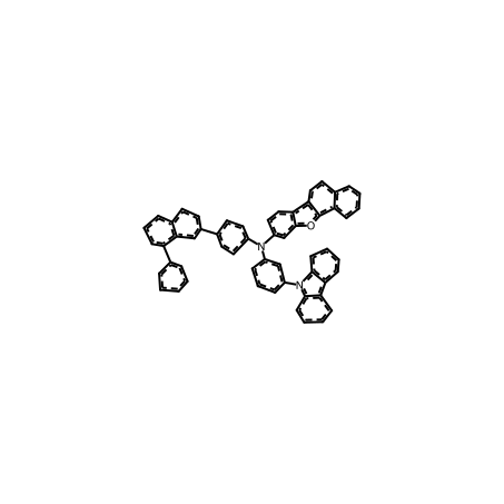 c1ccc(-c2cccc3ccc(-c4ccc(N(c5cccc(-n6c7ccccc7c7ccccc76)c5)c5ccc6c(c5)oc5c7ccccc7ccc65)cc4)cc23)cc1